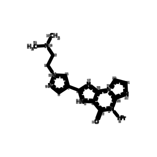 CCCn1c(=O)c2[nH]c(-c3cnn(CCN(C)C)c3)nc2n2ccnc12